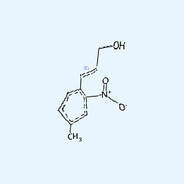 Cc1ccc(/C=C/CO)c([N+](=O)[O-])c1